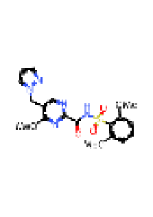 COc1cccc(OC)c1S(=O)(=O)NC(=O)c1ncc(Cn2cccn2)c(OC)n1